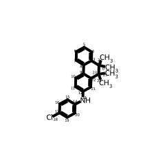 CC1(C)c2ccccc2-c2ccc(Nc3ccc(Cl)cc3)cc2C1(C)C